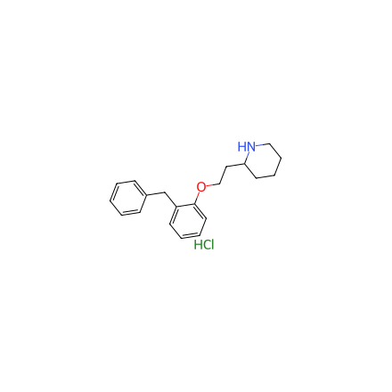 Cl.c1ccc(Cc2ccccc2OCCC2CCCCN2)cc1